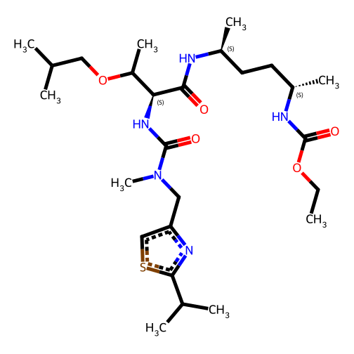 CCOC(=O)N[C@@H](C)CC[C@H](C)NC(=O)[C@@H](NC(=O)N(C)Cc1csc(C(C)C)n1)C(C)OCC(C)C